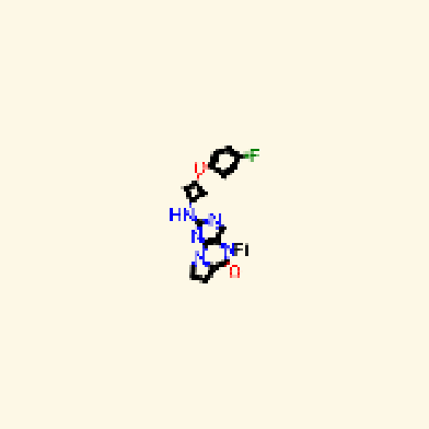 CCN1C(=O)C2CCCN2c2nc(N[C@H]3C[C@H](Oc4ccc(F)cc4)C3)ncc21